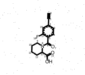 [C]#Cc1ccc(C(=O)N2CCCCC2C(=O)O)c(F)c1